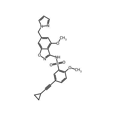 COc1ccc(C#CC2CC2)cc1S(=O)(=O)Nc1noc2cc(Cn3cccn3)cc(OC)c12